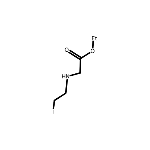 CCOC(=O)CNCCI